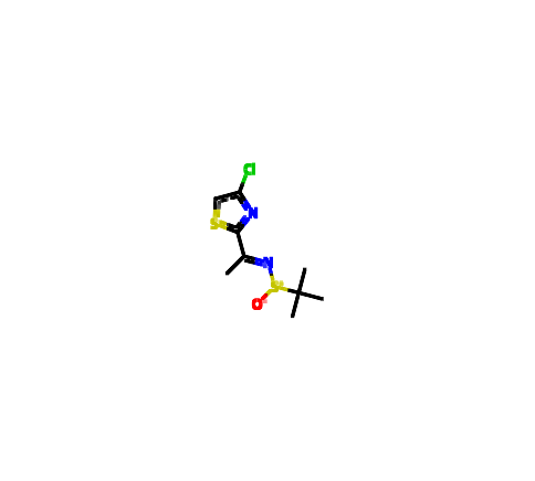 CC(=N[S+]([O-])C(C)(C)C)c1nc(Cl)cs1